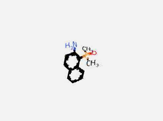 CP(C)(=O)c1c(N)ccc2ccccc12